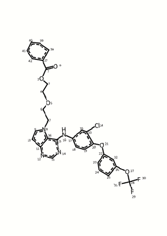 O=C(OCCOCCn1ccc2ncnc(Nc3ccc(Oc4cccc(OC(F)(F)F)c4)c(Cl)c3)c21)c1ccccc1